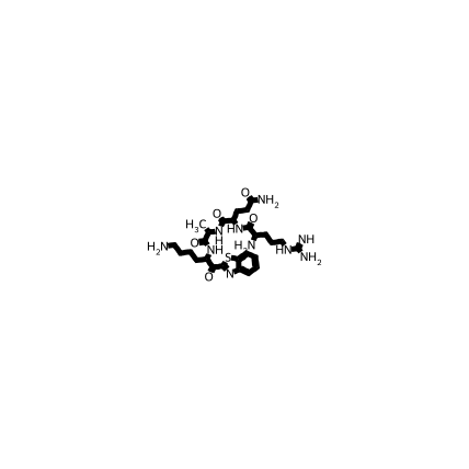 CC(NC(=O)C(CCC(N)=O)NC(=O)C(N)CCCNC(=N)N)C(=O)NC(CCCCN)C(=O)c1nc2ccccc2s1